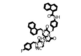 N#CCN(C(=O)NCc1ccc(F)cc1)N1CC(=O)N2[C@@H](Cc3ccc(NC(=O)c4cccc5ccccc45)cc3)C(=O)N(Cc3cccc4ccccc34)C[C@@H]21